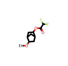 CCOC1CC2CC1CC2OC(=O)C(F)F